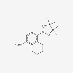 CCCCCCCCc1ccc(B2OC(C)(C)C(C)(C)O2)c2c1CCCC2